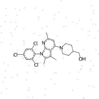 Cc1cc(N2CCC(CO)CC2)c2c(C)c(C)n(-c3c(Cl)cc(Cl)cc3Cl)c2n1